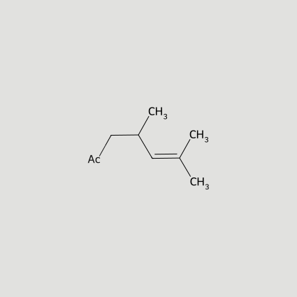 CC(=O)CC(C)C=C(C)C